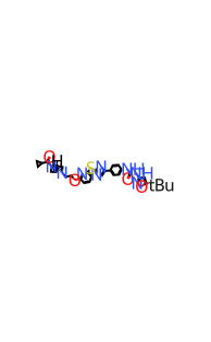 CC(C)(C)c1cc(NC(=O)Nc2ccc(-c3cn4c(n3)sc3nc(OCCN5C[C@@H]6C5CN6C(=O)C5CC5)ccc34)cc2)no1